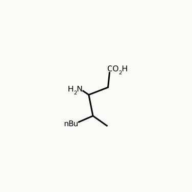 CCCCC(C)C(N)CC(=O)O